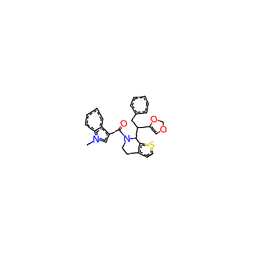 Cn1cc(C(=O)N2CCc3ccsc3C2C(Cc2ccccc2)C2=COCO2)c2ccccc21